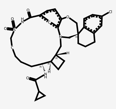 O=C1NS(=O)(=O)CCCCC[C@@H](NC(=O)C2CC2)[C@@H]2CC[C@H]2CN2C[C@@]3(CCCc4cc(Cl)ccc43)COc3ccc1cc32